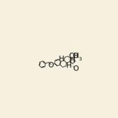 C[C@]12CC[C@@H]3c4ccc(OCc5ccccc5)cc4CC[C@H]3[C@@H]1[C@@H](C=O)CC2=O